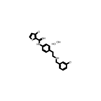 Cl.Cl.N=C(Nc1ccc(CCNCc2cccc(Cl)c2)cc1)c1sccc1Cl